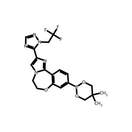 CC1(C)COB(c2ccc3c(c2)OCCn2cc(-c4ncnn4CC(F)(F)F)nc2-3)OC1